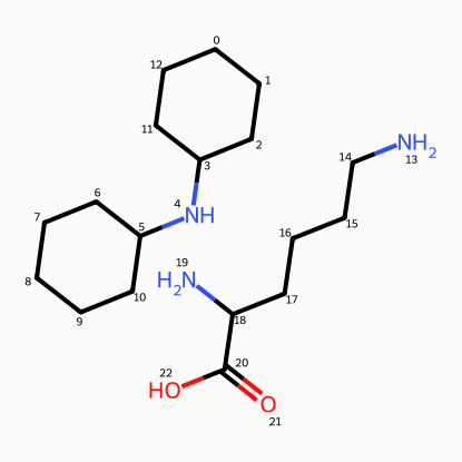 C1CCC(NC2CCCCC2)CC1.NCCCCC(N)C(=O)O